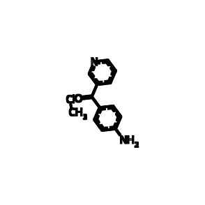 CCl.Nc1ccc(C(=O)c2cccnc2)cc1